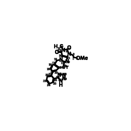 COCCn1c(=O)n(C)c(=O)c2c1nc(C(C)C)n2Cc1ccc(-c2ccccc2-c2nnn[nH]2)cc1